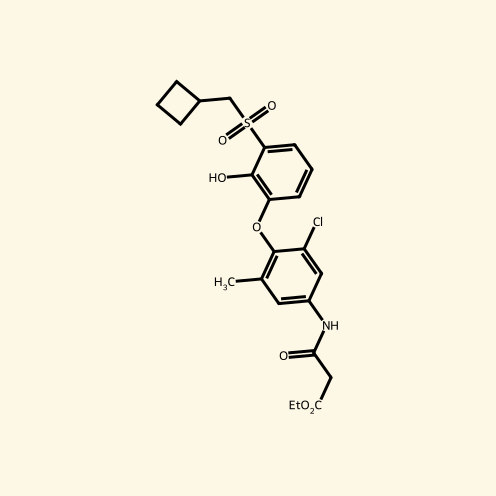 CCOC(=O)CC(=O)Nc1cc(C)c(Oc2cccc(S(=O)(=O)CC3CCC3)c2O)c(Cl)c1